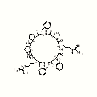 C[C@@H]1NC(=O)[C@H](CCCNC(=N)N)NC(=O)[C@H](Cc2ccccc2)NC(=O)[C@H](Cc2ccccc2)NC(=O)[C@H](CCCNC(=N)N)NC(=O)[C@@H]2CCCN2C(=O)[C@H]2CCCN2C(=O)[C@H](Cc2ccccc2)NC1=O